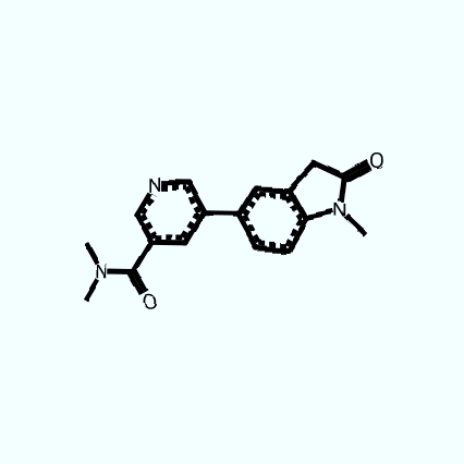 CN(C)C(=O)c1cncc(-c2ccc3c(c2)CC(=O)N3C)c1